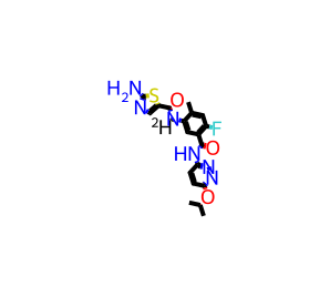 [2H]N(C(=O)c1cnc(N)s1)c1cc(C(=O)Nc2ccc(OC(C)C)nn2)c(F)cc1C